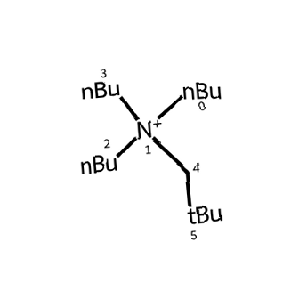 CCCC[N+](CCCC)(CCCC)CC(C)(C)C